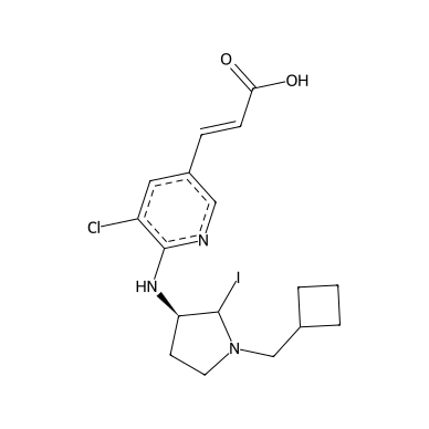 O=C(O)C=Cc1cnc(N[C@@H]2CCN(CC3CCC3)C2I)c(Cl)c1